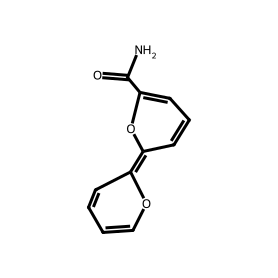 NC(=O)C1=CC=CC(=C2C=CC=CO2)O1